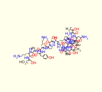 CC[C@H](C)[C@H](NC(=O)[C@H](CC(N)=O)NC(=O)[C@@H](N)[C@@H](C)O)C(=O)N[C@@H](Cc1c[nH]cn1)C(=O)N1CCC[C@H]1C(=O)N[C@H](C(=O)N[C@H](C(=O)N[C@H](C(=O)NCC(=O)N[C@@H](CCCCN)C(=O)N[C@@H](CO)C(=O)N1CCC[C@H]1C(=O)N[C@@H](CCCCN)C(=O)N[C@@H](Cc1ccc(O)cc1)C(=O)N[C@H](C(=O)N[C@@H](CCCCN)C(=O)N[C@@H](CO)C(=O)O)C(C)C)[C@@H](C)CC)[C@@H](C)O)[C@@H](C)CC